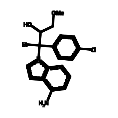 CCC(c1ccc(Cl)cc1)(C(O)COC)n1ccc2c(N)cccc21